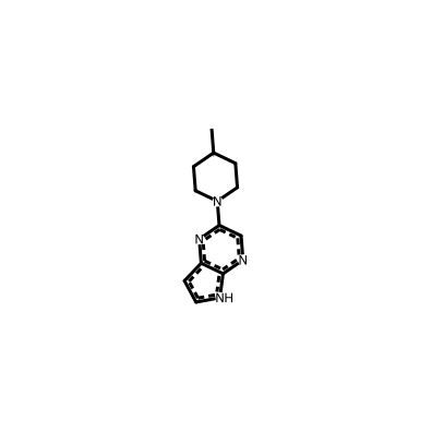 C[C]1CCN(c2cnc3[nH]ccc3n2)CC1